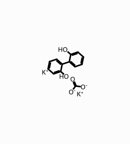 O=C([O-])[O-].Oc1ccccc1-c1ccccc1O.[K+].[K+]